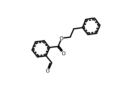 O=Cc1ccccc1C(=O)OCCc1ccccc1